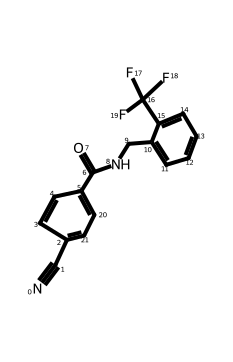 N#Cc1ccc(C(=O)NCc2ccccc2C(F)(F)F)cc1